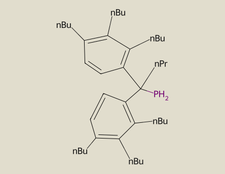 CCCCc1ccc(C(P)(CCC)c2ccc(CCCC)c(CCCC)c2CCCC)c(CCCC)c1CCCC